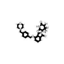 [2H]C1C(=O)NC(=O)C([2H])(N2Cc3c(OCc4ccc(CN5CCOCC5)cc4)cccc3C2=O)C1([2H])[2H]